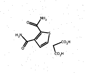 NC(=O)c1ccsc1C(N)=O.O=C(O)CC(=O)O